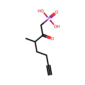 C#CCCC(C)C(=O)CP(=O)(O)O